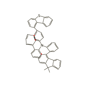 CC1(C)c2ccccc2-c2c(-c3ccccc3N(c3ccc(-c4cccc5sc6ccccc6c45)cc3)c3ccccc3-c3ccccc3)cccc21